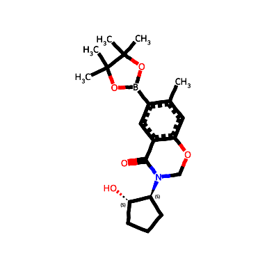 Cc1cc2c(cc1B1OC(C)(C)C(C)(C)O1)C(=O)N([C@H]1CCC[C@@H]1O)CO2